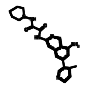 Cc1ccncc1-c1cc(N)c2cnc(NC(=O)C(=O)NN3CCCCC3)cc2c1